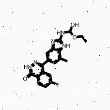 CCOC(O)Nc1nc2cc(-c3n[nH]c(=O)c4ccc(F)cc34)cc(C)c2[nH]1